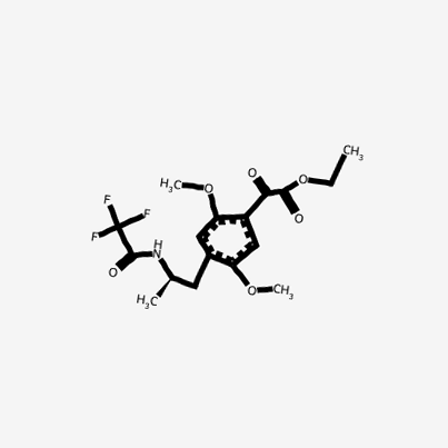 CCOC(=O)C(=O)c1cc(OC)c(C[C@@H](C)NC(=O)C(F)(F)F)cc1OC